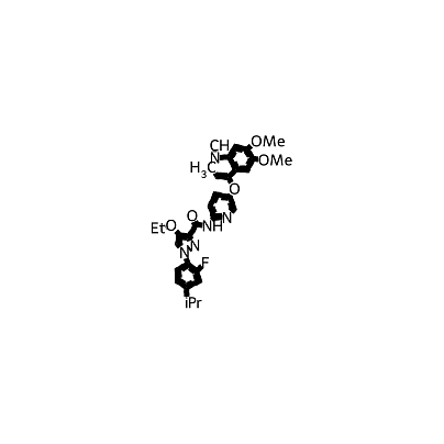 C=Nc1cc(OC)c(OC)cc1/C(=C\C)Oc1ccc(NC(=O)c2nn(-c3ccc(C(C)C)cc3F)cc2OCC)nc1